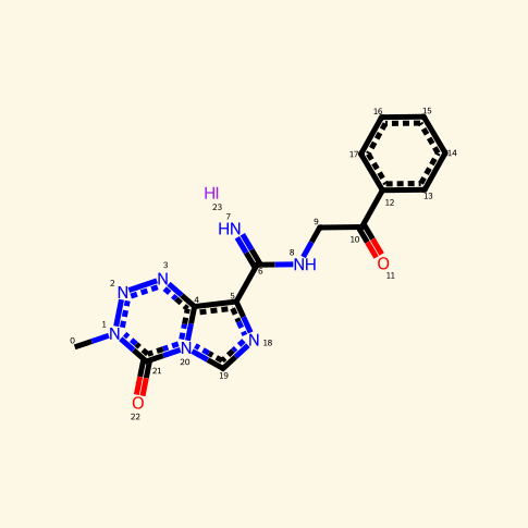 Cn1nnc2c(C(=N)NCC(=O)c3ccccc3)ncn2c1=O.I